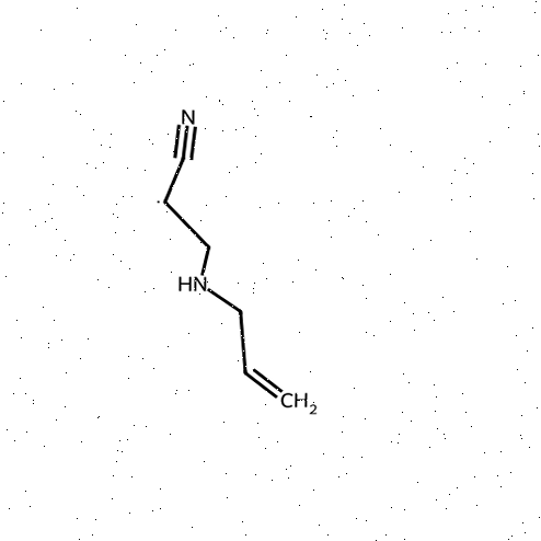 C=CCNC[CH]C#N